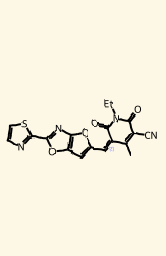 CCN1C(=O)C(C#N)=C(C)/C(=C/c2cc3oc(-c4nccs4)nc3o2)C1=O